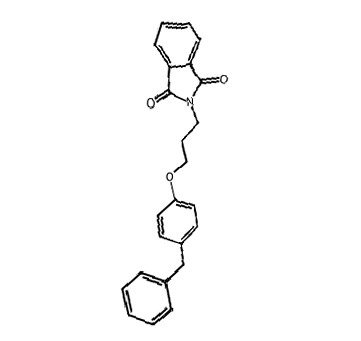 O=C1c2ccccc2C(=O)N1CCCOc1ccc(Cc2ccccc2)cc1